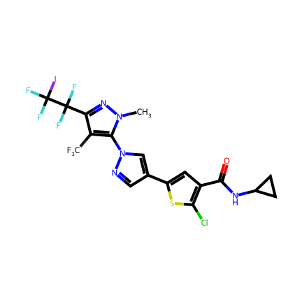 Cn1nc(C(F)(F)C(F)(F)I)c(C(F)(F)F)c1-n1cc(-c2cc(C(=O)NC3CC3)c(Cl)s2)cn1